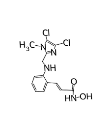 Cn1c(CNc2ccccc2/C=C/C(=O)NO)nc(Cl)c1Cl